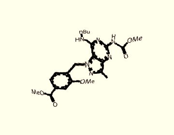 CCCCNc1nc(NC(=O)OC)nc2c(C)nn(Cc3ccc(C(=O)OC)cc3OC)c12